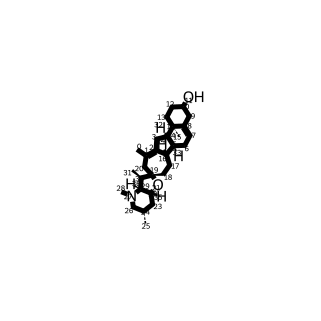 CC1=C2C[C@H]3[C@@H](CC=C4CC(O)CC[C@@]43C)[C@@H]2CC[C@@]2(C1)O[C@@H]1C[C@H](C)CN(C)[C@H]1[C@H]2C